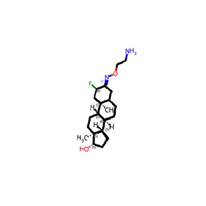 C[C@]12CC[C@H]3[C@@H](CCC4C/C(=N\OCCN)[C@H](F)C[C@@]43C)[C@@H]1CC[C@@H]2O